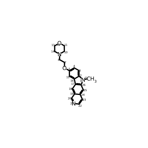 Cn1c2ccc(OCCN3CCOCC3)cc2c2cc3cnccc3cc21